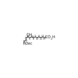 CCCCCCCCCCCCCC(C)CCCCCCCCCC(=O)O